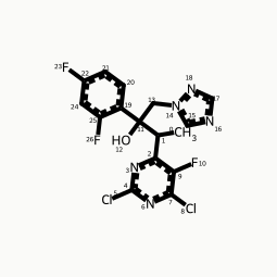 CC(c1nc(Cl)nc(Cl)c1F)C(O)(Cn1cncn1)c1ccc(F)cc1F